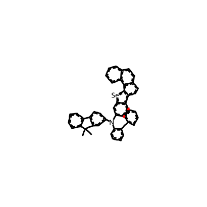 CC1(C)c2ccccc2-c2ccc(N(c3ccc4c(c3)[se]c3c4ccc4ccc5ccccc5c43)c3ccccc3-c3ccccc3)cc21